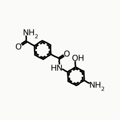 NC(=O)c1ccc(C(=O)Nc2ccc(N)cc2O)cc1